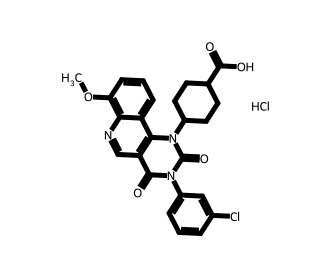 COc1cccc2c1ncc1c(=O)n(-c3cccc(Cl)c3)c(=O)n(C3CCC(C(=O)O)CC3)c12.Cl